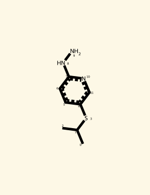 CC(C)Sc1ccc(NN)nc1